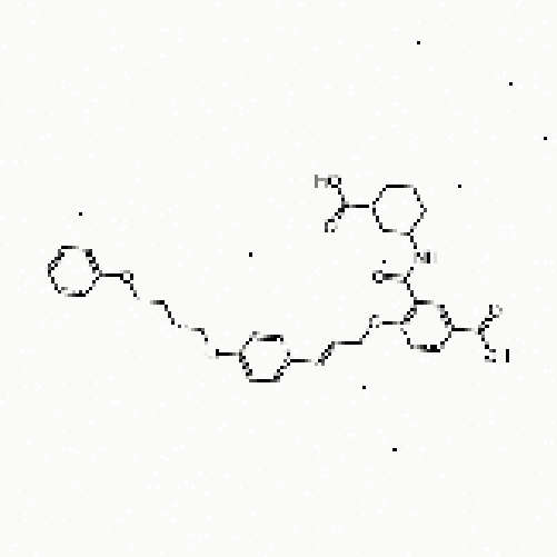 O=C(O)c1ccc(OCC=Cc2ccc(OCCCCOc3ccccc3)cc2)c(C(=O)NC2CCCC(C(=O)O)C2)c1